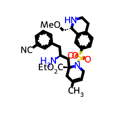 CCOC(=O)[C@]1(C(=O)[C@@H](N)Cc2cccc(C#N)c2)CC(C)=CCN1S(=O)(=O)c1ccc2c(c1)[C@H](COC)NCC2